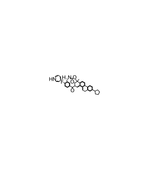 C1=CC=CNC=C1.CC1(C)c2ccc3c(c2=CC(C(=O)c2ccc(F)cc2)C1OC(N)=O)=CCc1cc(C2CCCC2)ccc1-3